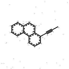 CC#Cc1cccc2c1ccc1ccccc12